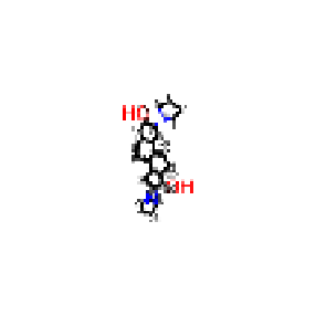 C[C@]12C[C@H](N3CCCC3)[C@@H](O)CC1CCC1C2CC[C@@]2(C)C1C[C@H](N1CCCC1)[C@@H]2O